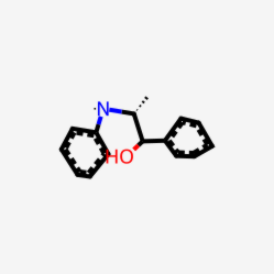 C[C@@H]([N]c1ccccc1)C(O)c1ccccc1